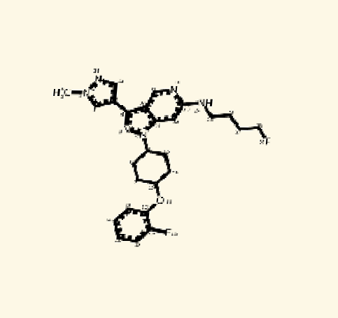 Cn1cc(-c2nn(C3CCC(Oc4ccccc4F)CC3)c3cc(NCCCCF)ncc23)cn1